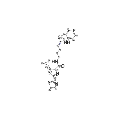 O=C(NCCC/C=C(\Nc1ccccc1)C(F)(F)F)c1nc(-c2nccs2)sc1C1CC1